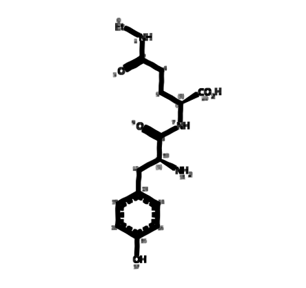 CCNC(=O)CC[C@H](NC(=O)[C@@H](N)Cc1ccc(O)cc1)C(=O)O